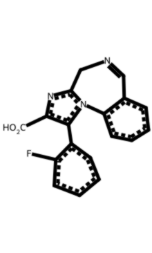 O=C(O)c1nc2n(c1-c1ccccc1F)-c1ccccc1C=NC2